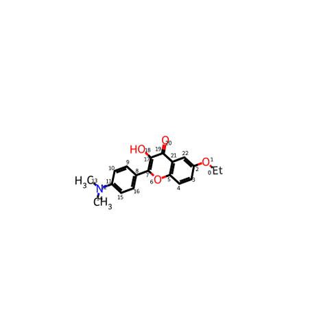 CCOc1ccc2oc(-c3ccc(N(C)C)cc3)c(O)c(=O)c2c1